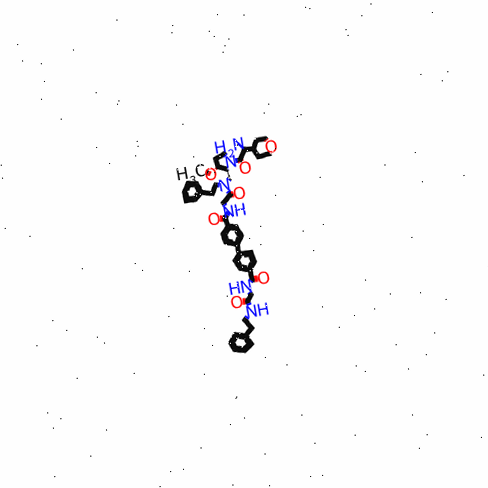 CO[C@H]1CCN(C(=O)[C@@H](N)C2CCOCC2)[C@@H]1CN(CCc1ccccc1)C(=O)CNC(=O)c1ccc(-c2ccc(C(=O)NCC(=O)NCCc3ccccc3)cc2)cc1